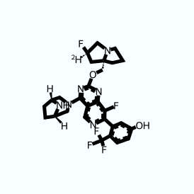 [2H][C@]1(F)CN2CCC[C@@]2(COc2nc(N3C[C@H]4CC[C@@H](C3)N4)c3cnc(-c4cc(O)ccc4C(F)(F)F)c(F)c3n2)C1